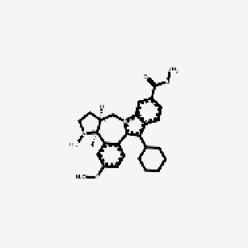 COC(=O)c1ccc2c(C3CCCCC3)c3n(c2c1)C[C@@H]1CCN(C)[C@@H]1c1cc(OC)ccc1-3